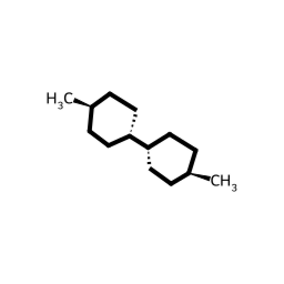 C[C@H]1CC[C@H]([C@H]2CC[C@H](C)CC2)CC1